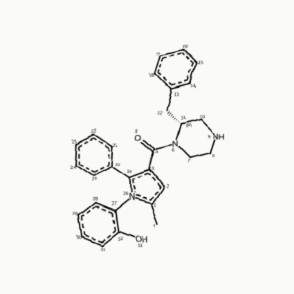 Cc1cc(C(=O)N2CCNC[C@H]2Cc2ccccc2)c(-c2ccccc2)n1-c1ccccc1O